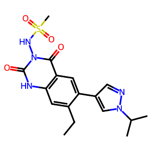 CCc1cc2[nH]c(=O)n(NS(C)(=O)=O)c(=O)c2cc1-c1cnn(C(C)C)c1